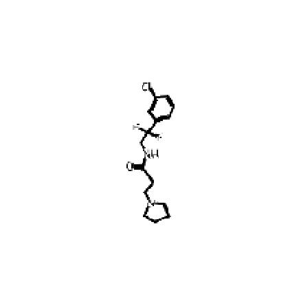 O=C(CCN1CCCC1)NCC(F)(F)c1cccc(Cl)c1